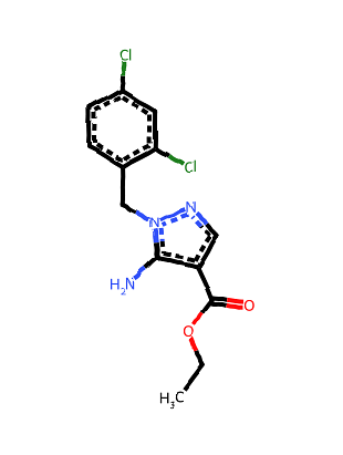 CCOC(=O)c1cnn(Cc2ccc(Cl)cc2Cl)c1N